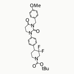 COc1ccc(CN2C(=O)CCN(c3ccc(C4CCN(C(=O)OC(C)(C)C)CC4(F)F)cc3)C2=O)cc1